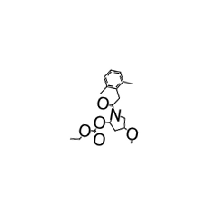 CCOC(=O)OC1CC(OC)CN1C(=O)Cc1c(C)cccc1C